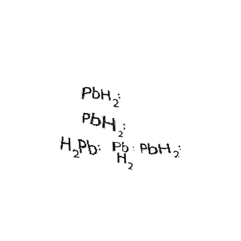 [PbH2].[PbH2].[PbH2].[PbH2].[PbH2]